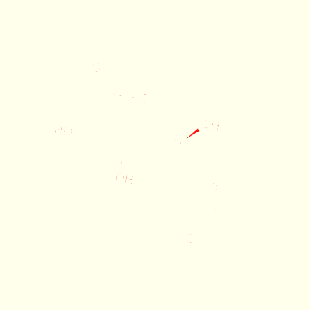 CC(=O)OC[C@H](O)C1OC(=O)C(O)=C1O